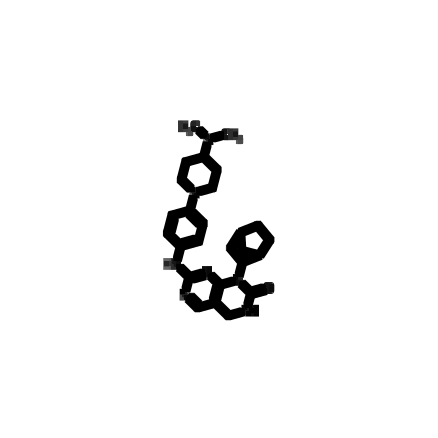 CN(C)C1CCN(c2ccc(Nc3ncc4c(n3)N(C3CC5CCC3C5)C(=O)NC4)cc2)CC1